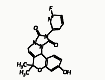 CC1(C)Oc2cc(O)ccc2C2C1=CCn1c(=O)n(-c3cccc(F)n3)c(=O)n12